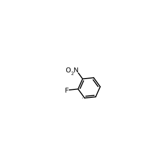 O=[N+]([O-])c1ccc[c]c1F